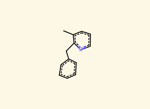 Cc1cccnc1Cc1ccccc1